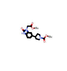 CC(C)(C)OC(=O)Cn1c(=O)[nH]c2ccc(C3CCN(C(=O)OC(C)(C)C)CC3)cc21